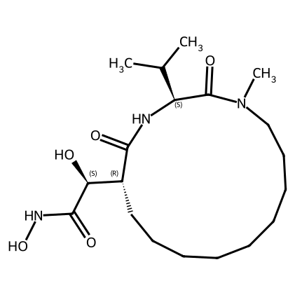 CC(C)[C@@H]1NC(=O)[C@@H]([C@H](O)C(=O)NO)CCCCCCCCCN(C)C1=O